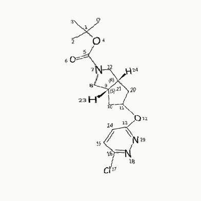 CC(C)(C)OC(=O)N1C[C@H]2CC(Oc3ccc(Cl)nn3)C[C@H]2C1